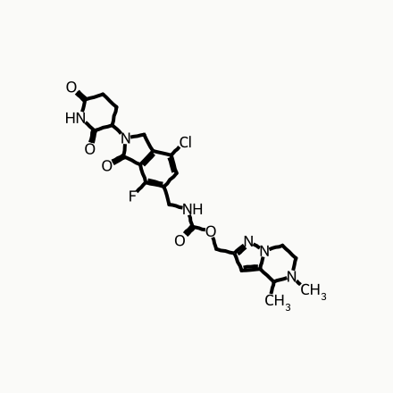 CC1c2cc(COC(=O)NCc3cc(Cl)c4c(c3F)C(=O)N(C3CCC(=O)NC3=O)C4)nn2CCN1C